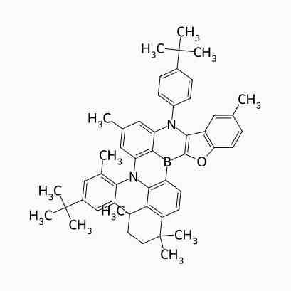 Cc1cc2c3c(c1)N(c1ccc(C(C)(C)C)cc1)c1c(oc4ccc(C)cc14)B3c1ccc3c4c1N2c1c(C)cc(C(C)(C)C)cc1C4(C)CCC3(C)C